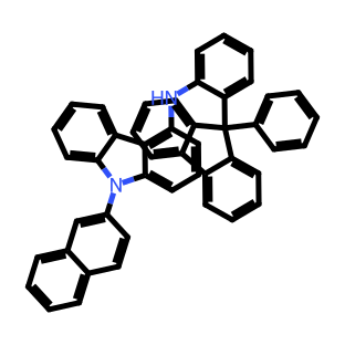 c1ccc(C2(c3ccccc3Nc3cccc4c3c3ccccc3n4-c3ccc4ccccc4c3)c3ccccc3-c3ccccc32)cc1